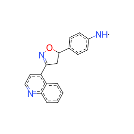 [NH]c1ccc(C2CC(c3ccnc4ccccc34)=NO2)cc1